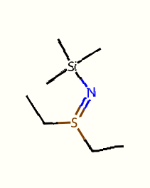 CCS(CC)=N[Si](C)(C)C